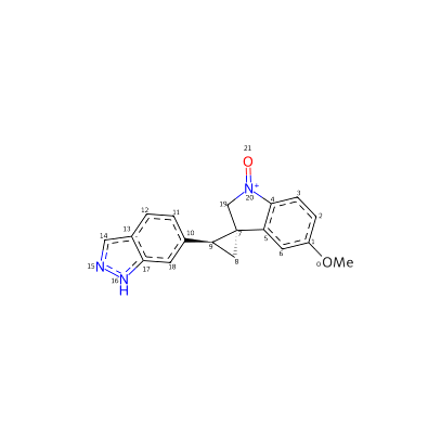 COc1ccc2c(c1)[C@]1(C[C@H]1c1ccc3cn[nH]c3c1)C[N+]2=O